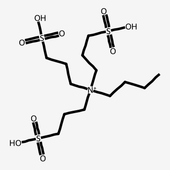 CCCC[N+](CCCS(=O)(=O)O)(CCCS(=O)(=O)O)CCCS(=O)(=O)O